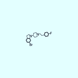 Fc1ccc(CCN2CCC(N3CCc4ccc(Br)cc43)CC2)cc1